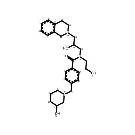 O=C(c1ccc(CN2CCCC(O)C2)cc1)N(CCO)CC(O)CN1CCc2ccccc2C1